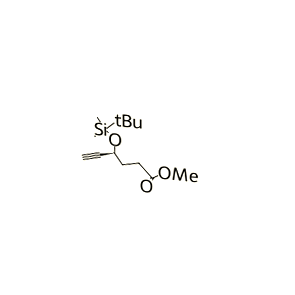 C#C[C@H](CCC(=O)OC)O[Si](C)(C)C(C)(C)C